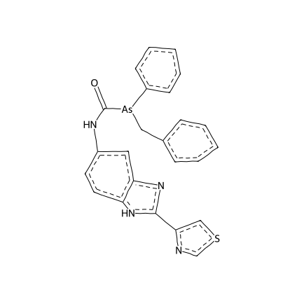 O=C(Nc1ccc2[nH]c(-c3cscn3)nc2c1)[As](Cc1ccccc1)c1ccccc1